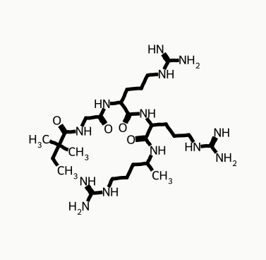 CCC(C)(C)C(=O)NCC(=O)NC(CCCNC(=N)N)C(=O)NC(CCCNC(=N)N)C(=O)NC(C)CCCNC(=N)N